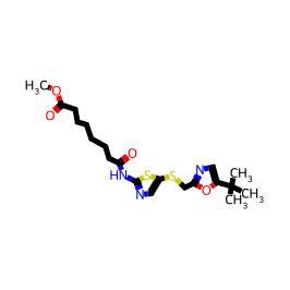 COC(=O)CCCCCCC(=O)Nc1ncc(SCc2ncc(C(C)(C)C)o2)s1